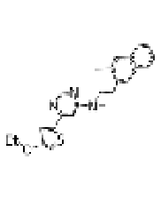 CCOc1csc(-c2cc(NCCc3cc4ccccc4cc3C)ncn2)c1